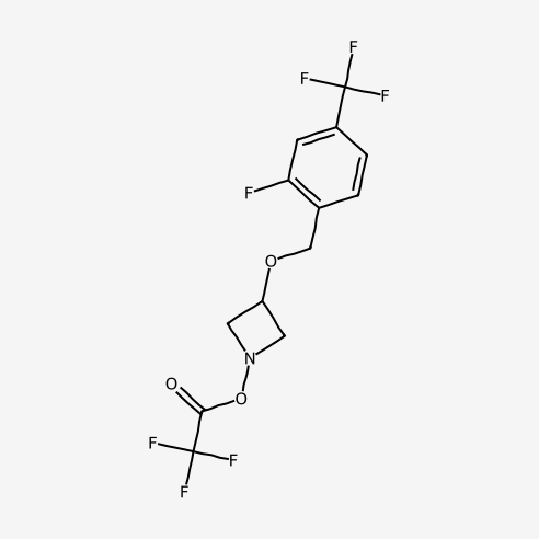 O=C(ON1CC(OCc2ccc(C(F)(F)F)cc2F)C1)C(F)(F)F